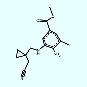 COC(=O)c1cc(F)c(N)c(NCC2(CC#N)CC2)c1